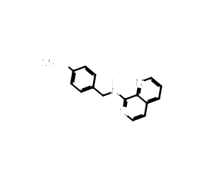 COc1ccc(CNc2nccc3cccnc23)cc1